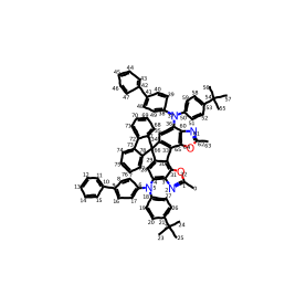 Cc1nc2c(N(c3ccc(-c4ccccc4)cc3)c3ccc(C(C)(C)C)cc3)cc3c(c2o1)-c1c(cc(N(c2ccc(-c4ccccc4)cc2)c2ccc(C(C)(C)C)cc2)c2nc(C)oc12)C31c2ccccc2-c2ccccc21